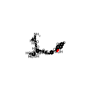 CC(=O)N[C@@H](CCCCN)C(=O)NCCC(=O)Nc1cc(COC(=O)Nc2csc(Cc3ccc([C@@H]4O[C@@H]5C[C@H]6[C@@H]7CCC8=CC(=O)C=C[C@]8(C)[C@H]7[C@@H](O)C[C@]6(C)[C@]5(C(=O)CO)O4)cc3)n2)ccc1O[C@@H]1O[C@H](C(=O)O)[C@@H](O)[C@H](O)[C@H]1O